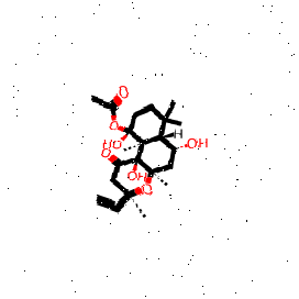 C=C[C@@]1(C)CC(=O)[C@]2(O)[C@]3(C)[C@@H]([C@H](O)C[C@@]2(C)O1)C(C)(C)CC[C@@]3(O)OC(C)=O